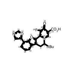 CC(C)(C)C1Cc2c(oc3c(-c4cnco4)cccc23)-c2c(F)c(=O)c(C(=O)O)cn21